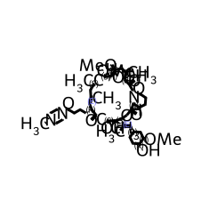 CO[C@H]1C[C@@H](C)C/C(C)=C/[C@@H](CCCC(=O)N2CCN(C)CC2)C(=O)C[C@H](O)[C@@H](C)[C@@H](/C(C)=C/[C@@H]2CC[C@@H](O)[C@H](OC)C2)OC(=O)[C@@H]2CCCCN2C(=O)C(=O)[C@]2(O)O[C@H]1[C@@H](OC)C[C@H]2C